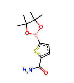 CC1(C)OB(c2ccc(C(N)=O)s2)OC1(C)C